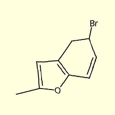 Cc1cc2c(o1)C=CC(Br)C2